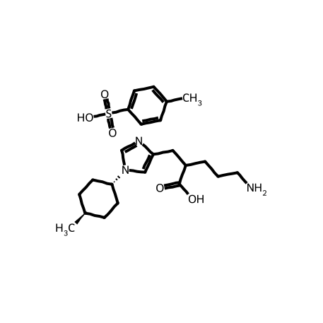 C[C@H]1CC[C@H](n2cnc(CC(CCCN)C(=O)O)c2)CC1.Cc1ccc(S(=O)(=O)O)cc1